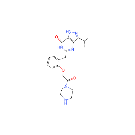 CC(C)c1n[nH]c2c(=O)[nH]c(Cc3ccccc3OCC(=O)N3CCNCC3)nc12